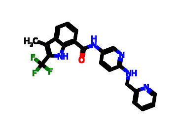 Cc1c(C(F)(F)F)[nH]c2c(C(=O)Nc3ccc(NCc4ccccn4)nc3)cccc12